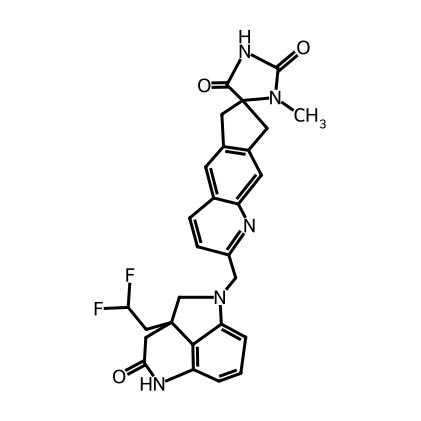 CN1C(=O)NC(=O)C12Cc1cc3ccc(CN4CC5(CC(F)F)CC(=O)Nc6cccc4c65)nc3cc1C2